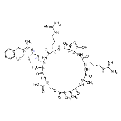 C=C1C(=O)N[C@H](C)C(=O)N[C@@H](CCCNC(=N)N)C(=O)N[C@@H](C(=O)O)[C@H](C)C(=O)N[C@@H](CCCNC(=N)N)C(=O)N[C@@H](/C=C/C(C)=C/[C@H](C)[C@H](Cc2ccccc2)OC)[C@H](C)C(=O)N[C@@H](C(=O)O)CCC(=O)N1C